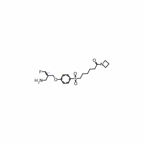 NC/C(=C\F)COc1ccc(S(=O)(=O)CCCCCC(=O)N2CCC2)cc1